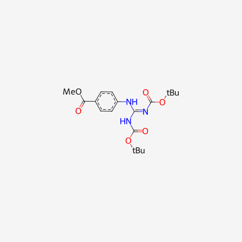 COC(=O)c1ccc(N/C(=N\C(=O)OC(C)(C)C)NC(=O)OC(C)(C)C)cc1